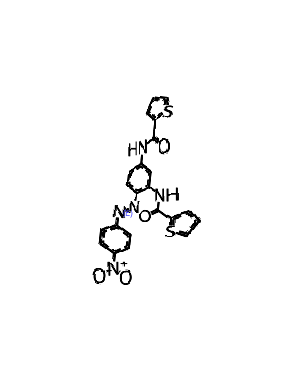 O=C(Nc1ccc(/N=N/c2ccc([N+](=O)[O-])cc2)c(NC(=O)c2cccs2)c1)c1cccs1